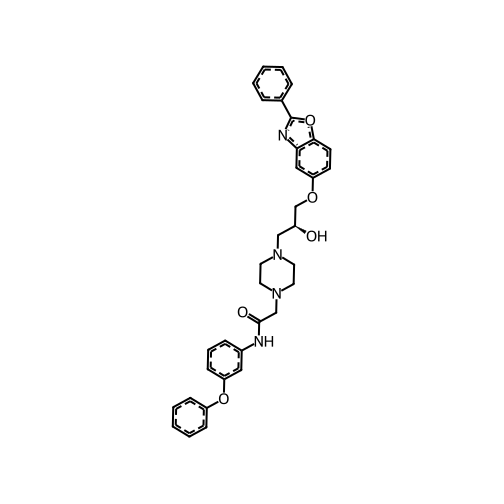 O=C(CN1CCN(C[C@H](O)COc2ccc3oc(-c4ccccc4)nc3c2)CC1)Nc1cccc(Oc2ccccc2)c1